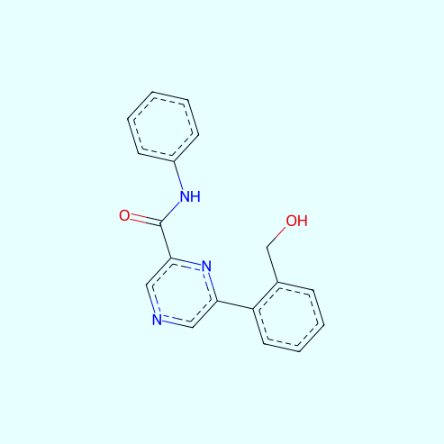 O=C(Nc1ccccc1)c1cncc(-c2ccccc2CO)n1